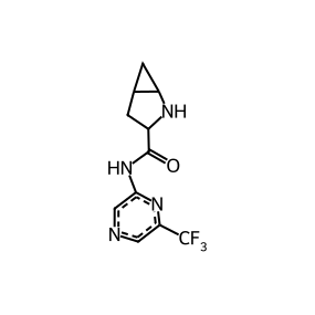 O=C(Nc1cncc(C(F)(F)F)n1)C1CC2CC2N1